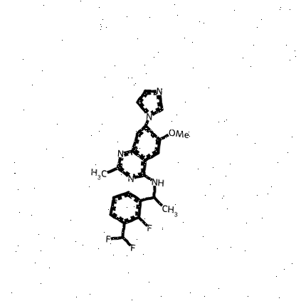 COc1cc2c(NC(C)c3cccc(C(F)F)c3F)nc(C)nc2cc1-n1ccnc1